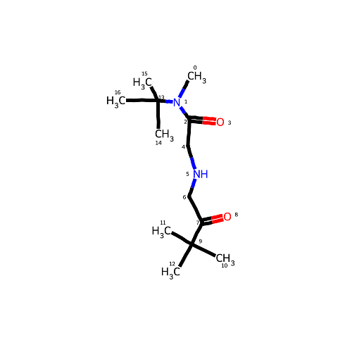 CN(C(=O)CNCC(=O)C(C)(C)C)C(C)(C)C